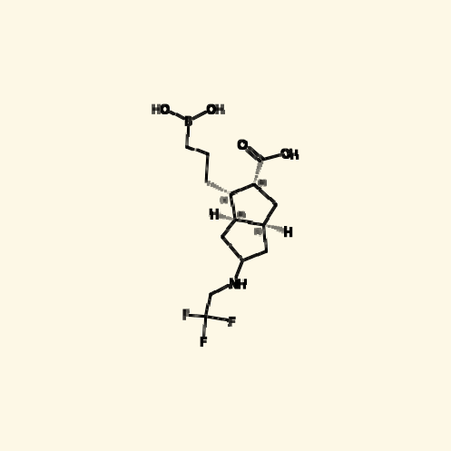 O=C(O)[C@@H]1C[C@H]2CC(NCC(F)(F)F)C[C@H]2[C@@H]1CCCB(O)O